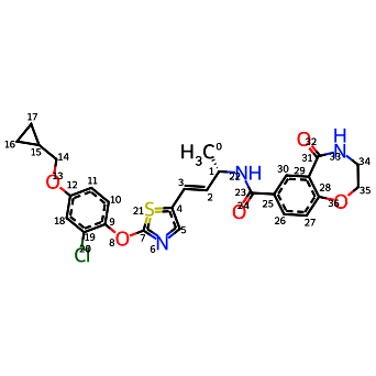 C[C@@H](/C=C/c1cnc(Oc2ccc(OCC3CC3)cc2Cl)s1)NC(=O)c1ccc2c(c1)C(=O)NCCO2